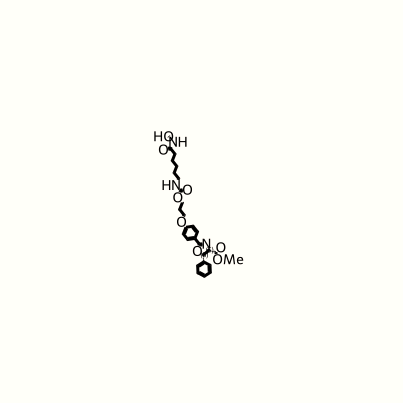 COC(=O)[C@H]1N=C(c2ccc(OCCCOC(=O)NCCCCCC(=O)NO)cc2)O[C@H]1c1ccccc1